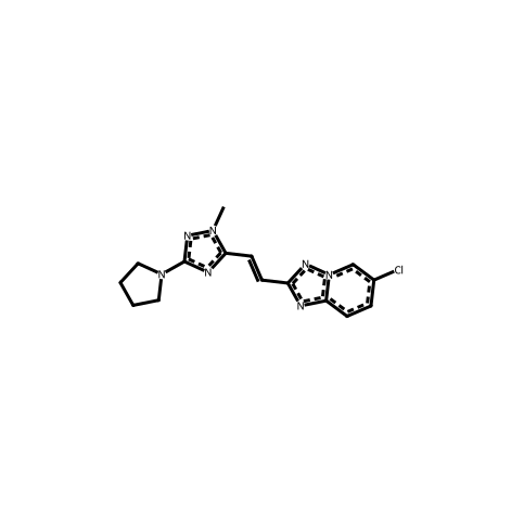 Cn1nc(N2CCCC2)nc1C=Cc1nc2ccc(Cl)cn2n1